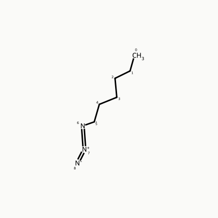 CCCCC[CH]N=[N+]=[N-]